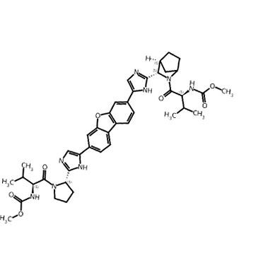 COC(=O)N[C@H](C(=O)N1CCC[C@H]1c1ncc(-c2ccc3c(c2)oc2cc(-c4cnc([C@@H]5[C@H]6CCC(C6)N5C(=O)[C@@H](NC(=O)OC)C(C)C)[nH]4)ccc23)[nH]1)C(C)C